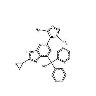 Cc1noc(C)c1-c1cc(C(O)(c2ccccc2)c2cnccn2)c2nc(C3CC3)[nH]c2c1